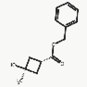 C[C@]1(O)C[C@H](C(=O)OCc2ccccc2)C1